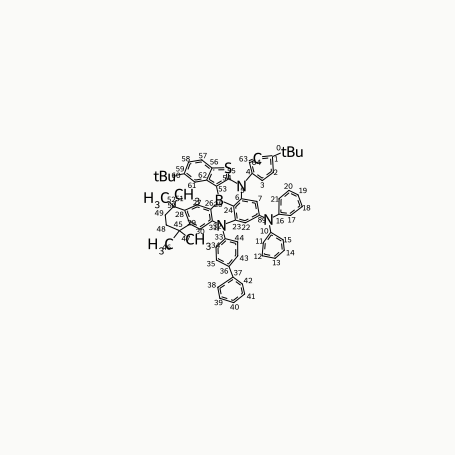 CC(C)(C)c1ccc(N2c3cc(N(c4ccccc4)c4ccccc4)cc4c3B(c3cc5c(cc3N4c3ccc(-c4ccccc4)cc3)C(C)(C)CCC5(C)C)c3c2sc2ccc(C(C)(C)C)cc32)cc1